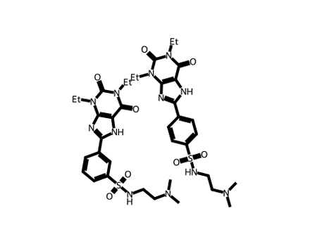 CCn1c(=O)c2[nH]c(-c3ccc(S(=O)(=O)NCCN(C)C)cc3)nc2n(CC)c1=O.CCn1c(=O)c2[nH]c(-c3cccc(S(=O)(=O)NCCN(C)C)c3)nc2n(CC)c1=O